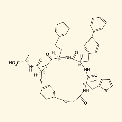 C[C@H](NC(=O)[C@@H]1Cc2ccc(cc2)OCC(=O)N[C@H](Cc2cccs2)C(=O)N[C@@H](Cc2ccc(-c3ccccc3)cc2)C(=O)N[C@H](CCc2ccccc2)C(=O)N1)C(=O)O